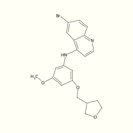 COc1cc(Nc2ccnc3ccc(Br)cc23)cc(OCC2CCOC2)c1